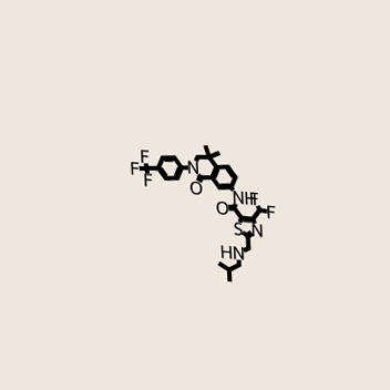 CC(C)CNCc1nc(C(F)F)c(C(=O)Nc2ccc3c(c2)C(=O)N(c2ccc(C(F)(F)F)cc2)CC3(C)C)s1